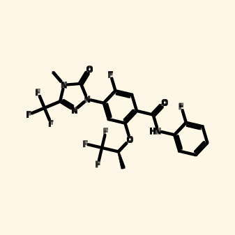 C[C@H](Oc1cc(-n2nc(C(F)(F)F)n(C)c2=O)c(F)cc1C(=O)Nc1ccccc1F)C(F)(F)F